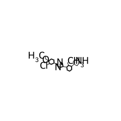 CCOc1ccc(-c2ncc(-c3cccc(C4CCNCC4)c3CC)cn2)cc1Cl